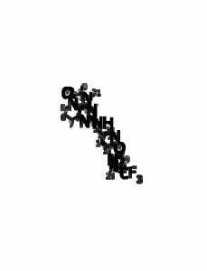 CC1C(=O)N2CCCc3nc(NCc4ccc(Oc5cc(C(F)(F)F)n(C)n5)nc4)nc(c32)N1C